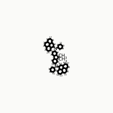 CC1(C)c2cc(N(c3ccccc3)c3cc4cccc5ccc6cccc3c6c54)ccc2-c2ccc(N(c3ccccc3)c3cc4cccc5ccc6cccc3c6c54)cc21